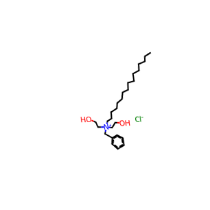 CCCCCCCCCCCCCCCC[N+](CCO)(CCO)Cc1ccccc1.[Cl-]